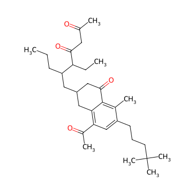 CCCC(CC1CC(=O)c2c(C)c(CCCC(C)(C)C)cc(C(C)=O)c2C1)C(CC)C(=O)CC(C)=O